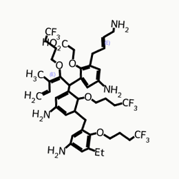 C=C/C(C)=C(/OCCCC(F)(F)F)C(C1=CC(N)=CC(Cc2cc(N)cc(CC)c2OCCCC(F)(F)F)C1OCCCC(F)(F)F)c1cc(N)cc(C/C=C/CN)c1OCC(=O)O